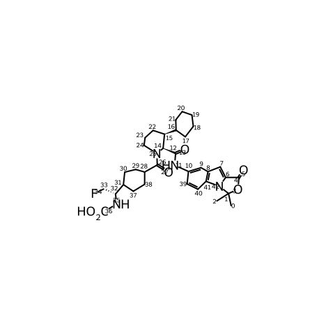 CC1(C)OC(=O)c2cc3cc(NC(=O)[C@@H]4[C@H](C5CCCCC5)CCCN4C(=O)C4CCC([C@@H](CF)NC(=O)O)CC4)ccc3n21